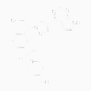 N#CCC(c1cccc(S(=O)(=O)N2CCC(O)CC2)c1)n1cc(-c2ncnc3[nH]ccc23)cn1